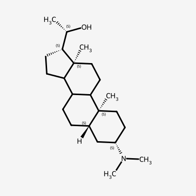 C[C@H](O)[C@H]1CCC2C3CC[C@H]4C[C@@H](N(C)C)CC[C@]4(C)C3CC[C@@]21C